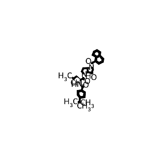 CC(C)C[C@H](NC(=O)c1ccc(C(C)(C)C)cc1)C(=O)N1CCC2[C@H]1C(=O)CN2C(=O)c1cccc2ccccc12